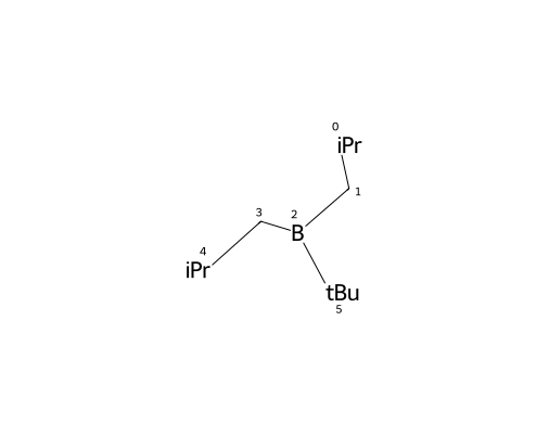 CC(C)CB(CC(C)C)C(C)(C)C